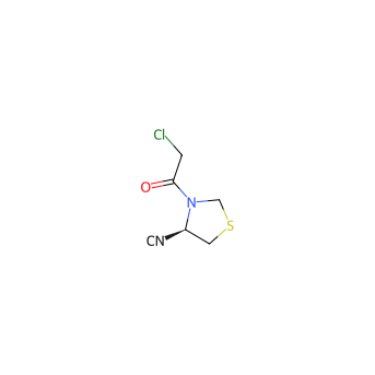 [C-]#[N+][C@@H]1CSCN1C(=O)CCl